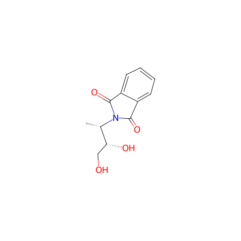 C[C@@H]([C@H](O)CO)N1C(=O)c2ccccc2C1=O